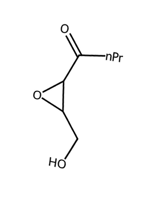 [CH2]CCC(=O)C1OC1CO